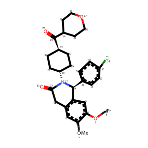 COc1cc2c(cc1OC(C)C)[C@H](c1ccc(Cl)cc1)N([C@H]1CC[C@H](C(=O)C3CCOCC3)CC1)C(=O)C2